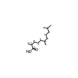 CC(C)CCCC(C)CCCC(C)C(=O)O